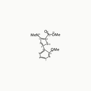 CNc1cc(-c2ccccc2OC)sc1C(=O)OC